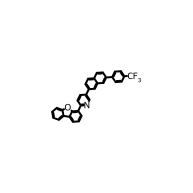 FC(F)(F)c1ccc(-c2ccc3ccc(-c4ccc(-c5cccc6c5oc5ccccc56)nc4)cc3c2)cc1